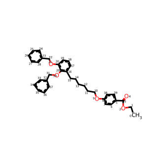 CCOC(=O)c1ccc(OCCCCCCc2cccc(OCc3ccccc3)c2OCc2ccccc2)cc1